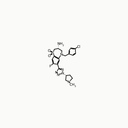 CN1CC[C@@H](n2nnc(-c3cc4c(cc3F)S(=O)(=O)C[C@H](N)CN4Cc3ccc(Cl)cc3)n2)C1